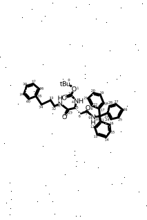 CC(C)(C)OC(=O)N[C@H](CC(=O)NC(c1ccccc1)(c1ccccc1)c1ccccc1)C(=O)NCCCc1ccccc1